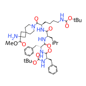 COC(=O)C1(N)CC2(CCN(C(=O)[C@@H](CCCCNC(=O)OC(C)(C)C)NC(=O)[C@@H](CC(C)C)NC(=O)[C@@H](Cc3ccccc3)NC(=O)[C@@H](Cc3ccccc3)NC(=O)OC(C)(C)C)CC2)C1